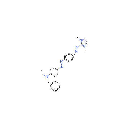 CCN(Cc1ccccc1)c1ccc(/N=N/c2ccc(/N=N/c3n(C)cc[n+]3C)cc2)cc1